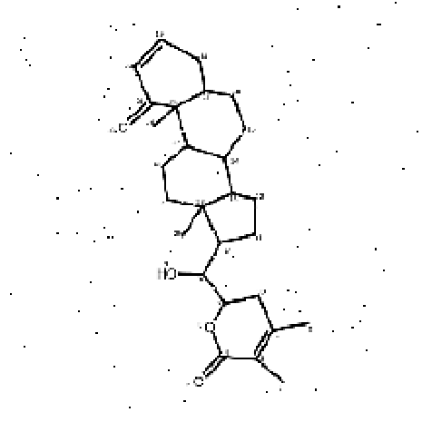 CC1=C(C)C(=O)OC(C(O)C2CCC3C4CCC5CC=CC(=O)C5(C)C4CCC23C)C1